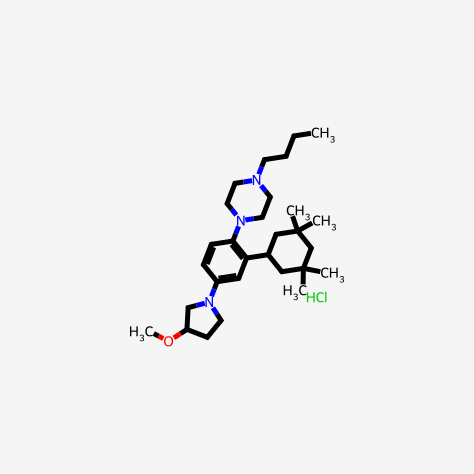 CCCCN1CCN(c2ccc(N3CCC(OC)C3)cc2C2CC(C)(C)CC(C)(C)C2)CC1.Cl